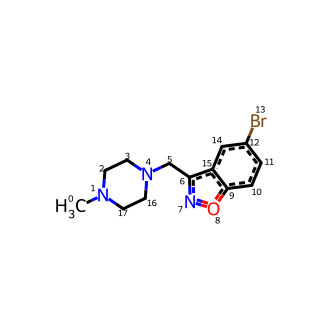 CN1CCN(Cc2noc3ccc(Br)cc23)CC1